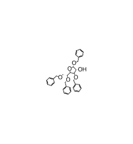 O[C@H]1[C@@H](OCc2ccccc2)O[C@H]([C@@H](COCc2ccccc2)OCc2ccccc2)[C@@H]1OCc1ccccc1